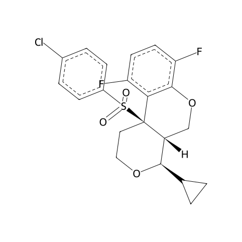 O=S(=O)(c1ccc(Cl)cc1)[C@]12CCO[C@H](C3CC3)[C@H]1COc1c(F)ccc(F)c12